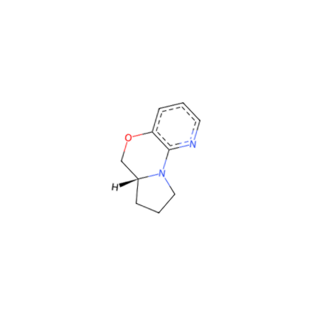 c1cnc2c(c1)OC[C@H]1CCCN21